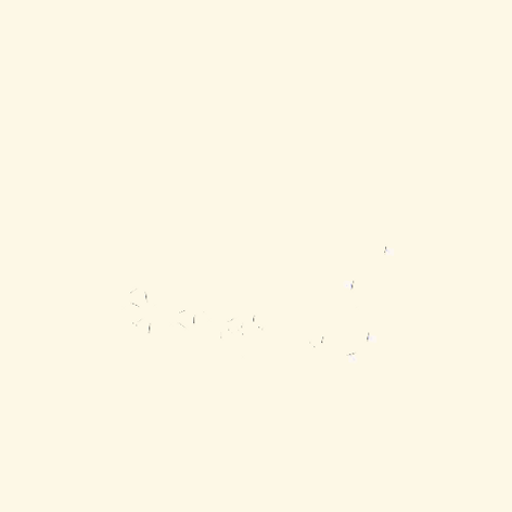 CC/C=C\CCCC/C=C\CCCC/C=C\C/C=C\CCC(=O)NCCOCCNC(=O)c1cc(C2CC(O)(c3ccc(OCc4c(-c5c(Cl)cccc5Cl)noc4C4CC4)cc3Cl)C2)n(C(C)C)n1